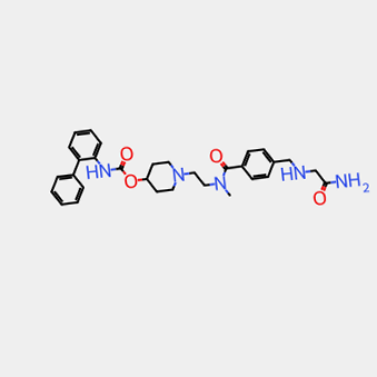 CN(CCN1CCC(OC(=O)Nc2ccccc2-c2ccccc2)CC1)C(=O)c1ccc(CNCC(N)=O)cc1